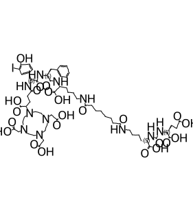 O=C(O)CC[C@H](NC(=O)N[C@@H](CCCCNC(=O)CCCCCCC(=O)NCCCCC(NC(=O)[C@H](Cc1ccccc1)NC(=O)[C@@H](NC(=O)CCC(C(=O)O)N1CCN(CC(=O)O)CCN(CC(=O)O)CCN(CC(=O)O)CC1)c1ccc(O)c(I)c1)C(=O)O)C(=O)O)C(=O)O